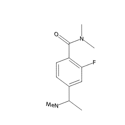 CNC(C)c1ccc(C(=O)N(C)C)c(F)c1